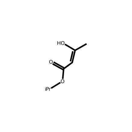 C/C(O)=C/C(=O)OC(C)C